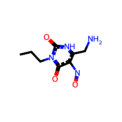 CCCn1c(=O)[nH]c(CN)c(N=O)c1=O